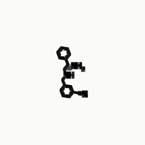 N#Cc1cccc(CNC[C@@H](N)c2ccccc2)c1